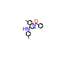 Cc1ccc(N[C@H]2C[C@@H](C)N(C(=O)c3ccccc3)c3ccc(C)cc32)cc1